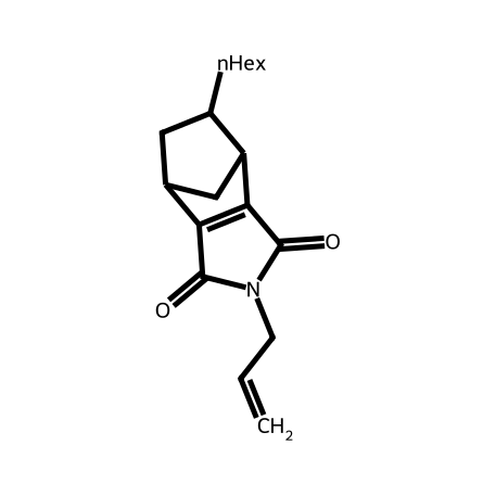 C=CCN1C(=O)C2=C(C1=O)C1CC2CC1CCCCCC